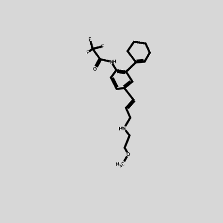 COCCNCC=Cc1ccc(NC(=O)C(F)(F)F)c(C2=CCCCC2)c1